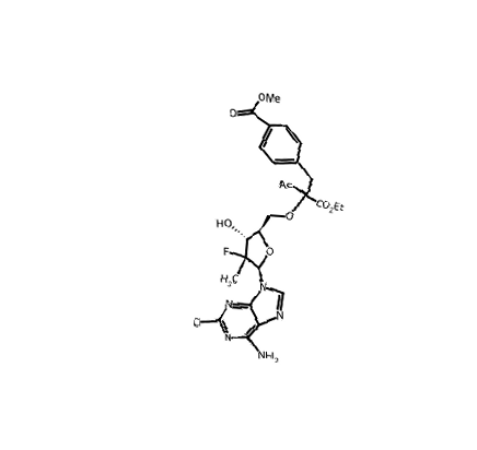 CCOC(=O)C(Cc1ccc(C(=O)OC)cc1)(OC[C@H]1O[C@@H](n2cnc3c(N)nc(Cl)nc32)[C@](C)(F)[C@@H]1O)C(C)=O